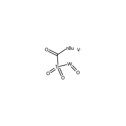 CCCC[C](=O)[Ti](=[O])(=[O])[W]=[O].[V]